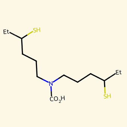 CCC(S)CCCN(CCCC(S)CC)C(=O)O